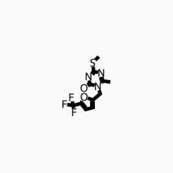 CSc1nc(C)n(Cc2ccc(C(F)(F)F)o2)c(=O)n1